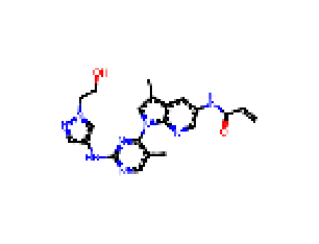 C=CC(=O)Nc1cnc2c(c1)c(C)cn2-c1nc(Nc2cnn(CCO)c2)ncc1C